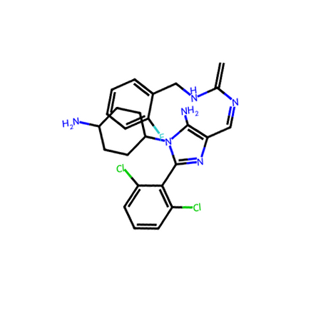 C=C(/N=C\c1nc(-c2c(Cl)cccc2Cl)n(C2CCC(N)CC2)c1N)NCc1ccccc1F